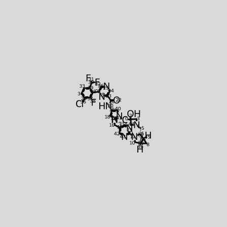 CC1(O)CN(C[C@@H]2[C@@H]3C[C@@H]3CN2c2ncc(Cn3cc(NC(=O)c4cncc(-c5c(C(F)F)ccc(Cl)c5F)n4)cn3)cn2)C1